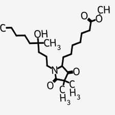 CCCCCC(C)(O)CCCN1C(=O)C(C)(C)C(=O)C1CCCCCCC(=O)OC